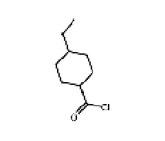 CCC1CCC(C(=O)Cl)CC1